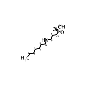 CCCCCCCNCCCS(=O)(=O)O